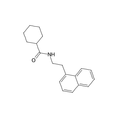 O=C(NCCc1cccc2ccccc12)C1CCCCC1